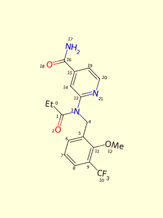 CCC(=O)N(Cc1cccc(C(F)(F)F)c1OC)c1cc(C(N)=O)ccn1